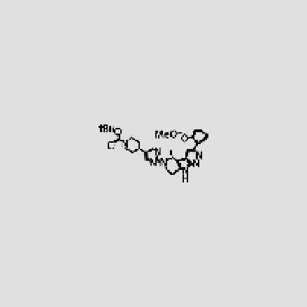 COCOc1ccccc1-c1cc2c3c([nH]c2nn1)CCN(c1ncc(C2CCN(C(=O)OC(C)(C)C)CC2)cn1)[C@H]3C